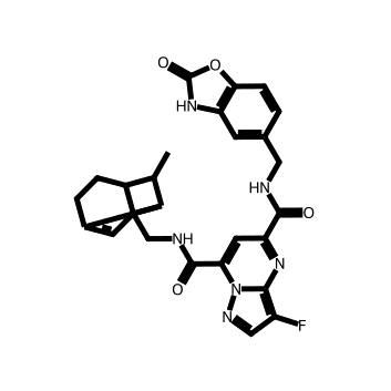 CC1C2CCC3=CC2(CNC(=O)c2cc(C(=O)NCc4ccc5oc(=O)[nH]c5c4)nc4c(F)cnn24)C31